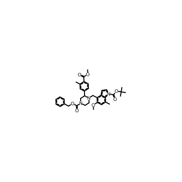 COC(=O)c1ccc(C2CN(C(=O)OCc3ccccc3)CCN2Cc2c(OC)cc(C)c3c2ccn3C(=O)OC(C)(C)C)cc1C